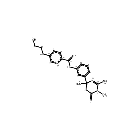 CN1C(=O)CC(C)(c2cccc(NC(=O)c3cnc(OCCO)cn3)c2)N=C1N